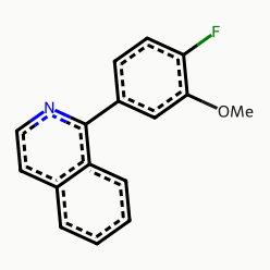 COc1cc(-c2nccc3ccccc23)ccc1F